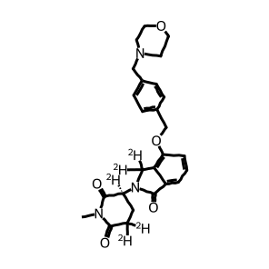 [2H]C1([2H])C[C@]([2H])(N2C(=O)c3cccc(OCc4ccc(CN5CCOCC5)cc4)c3C2([2H])[2H])C(=O)N(C)C1=O